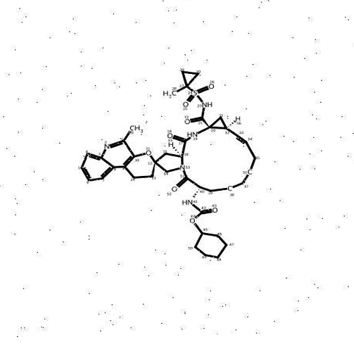 Cc1nc2ccccc2c2c1O[C@]1(CC2)C[C@H]2C(=O)N[C@]3(C(=O)NS(=O)(=O)C4(C)CC4)C[C@H]3/C=C\CCCCC[C@H](NC(=O)OC3CCCCC3)C(=O)N2C1